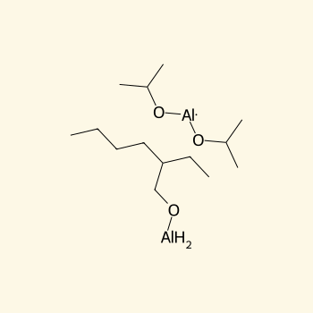 CC(C)[O][Al][O]C(C)C.CCCCC(CC)C[O][AlH2]